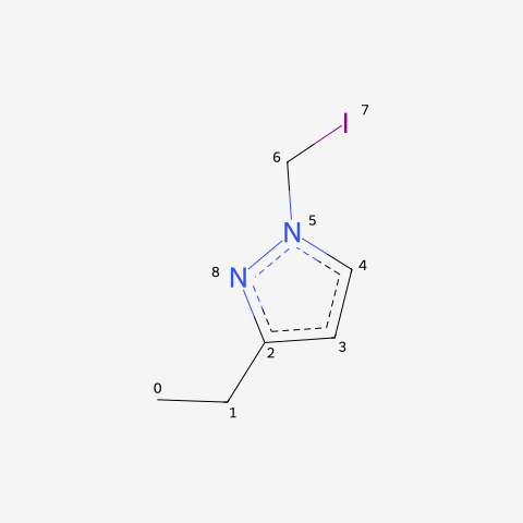 CCc1ccn(CI)n1